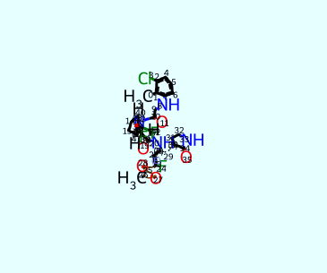 Cc1c(Cl)cccc1NCC(=O)N1[C@H]2CC[C@@H]([C@@H]1C(=O)N[C@@H](/C=C(\F)S(C)(=O)=O)C[C@@H]1CCNC1=O)C(F)(F)C2